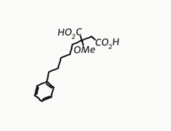 COC(CCCCCc1ccccc1)(CC(=O)O)C(=O)O